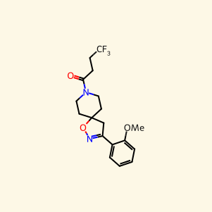 COc1ccccc1C1=NOC2(CCN(C(=O)CCC(F)(F)F)CC2)C1